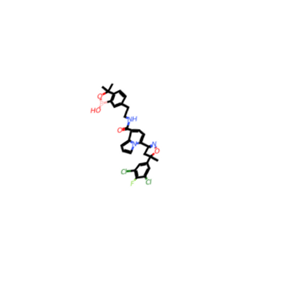 CC1(C)OB(O)c2cc(CCNC(=O)c3ccc(C4=NOC(C)(c5cc(Cl)c(F)c(Cl)c5)C4)n4cccc34)ccc21